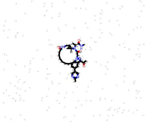 CNC(=O)[C@@H]1C[C@]23CNC(=O)CCCCCCc4cc(-c5cnc(C)nc5)cc5c(C(C)=O)nn(c45)CC(=O)N1[C@@H]2C3